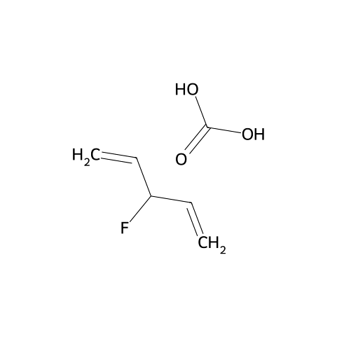 C=CC(F)C=C.O=C(O)O